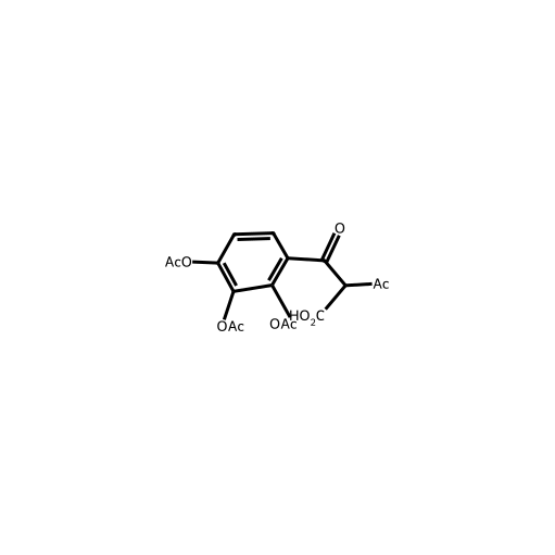 CC(=O)Oc1ccc(C(=O)C(C(C)=O)C(=O)O)c(OC(C)=O)c1OC(C)=O